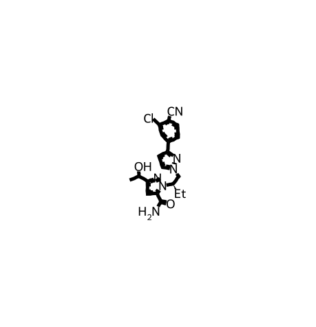 CC[C@@H](Cn1ccc(-c2ccc(C#N)c(Cl)c2)n1)n1nc(C(C)O)cc1C(N)=O